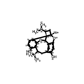 CN(C)C1Cc2cc3c(cc2O)O[C@H]2CC(N(C)C)[C@@]24c2ccc(O)c1c2OC34